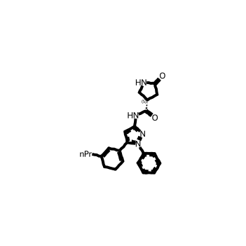 CCCC1=CC(c2cc(NC(=O)[C@@H]3CNC(=O)C3)nn2-c2ccccc2)=CCC1